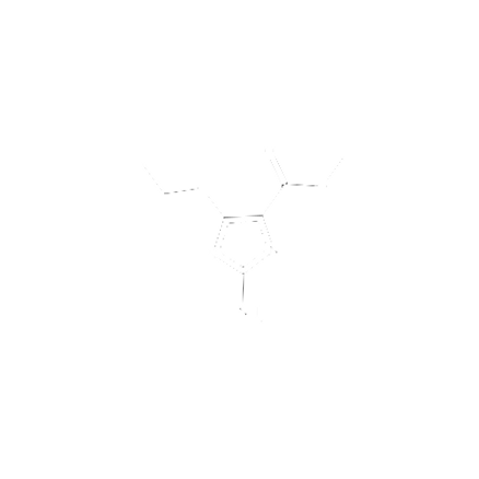 CCOc1sc(N)nc1C(=O)OC